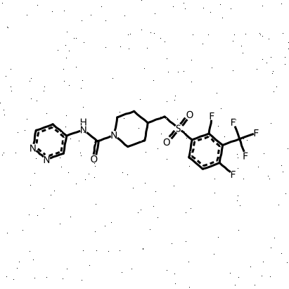 O=C(Nc1ccnnc1)N1CCC(CS(=O)(=O)c2ccc(F)c(C(F)(F)F)c2F)CC1